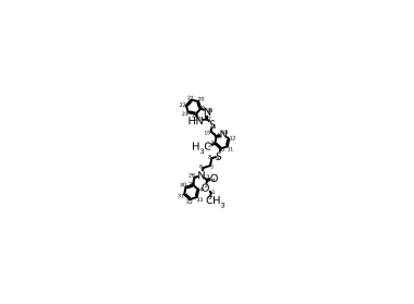 CCOC(=O)N(CCCSc1ccnc(CSc2nc3ccccc3[nH]2)c1C)Cc1ccccc1